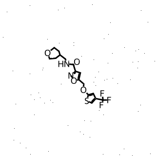 O=C(NCC1CCOCC1)c1cc(COc2cc(C(F)(F)F)cs2)on1